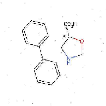 O=C(O)[C@H]1CNCO1.c1ccc(-c2ccccc2)cc1